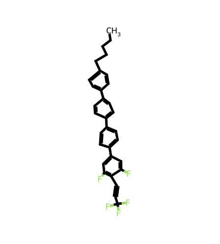 CCCCCc1ccc(-c2ccc(-c3ccc(-c4cc(F)c(C#CC(F)(F)F)c(F)c4)cc3)cc2)cc1